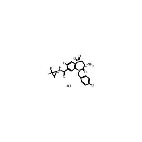 Cl.N[C@H]1CS(=O)(=O)c2cc(F)c(C(=O)N[C@H]3CC3(F)F)cc2N(Cc2ccc(Cl)cc2)C1=O